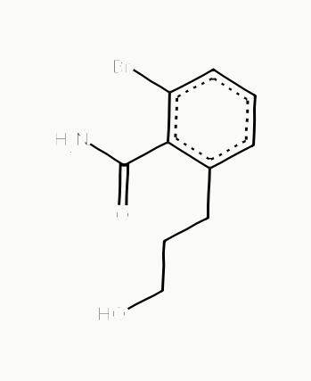 NC(=O)c1c(Br)cccc1[CH]CCO